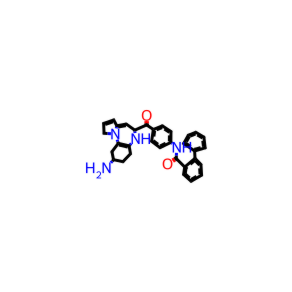 NC1CCC2=C(C1)N1CC=CC1=CC(C(=O)c1ccc(NC(=O)c3ccccc3-c3ccccc3)cc1)N2